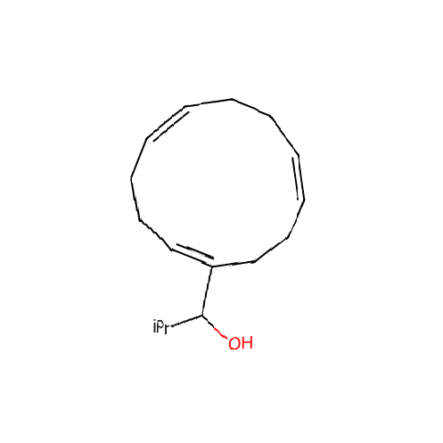 CC(C)C(O)C1=CCCC=CCCC=CCC1